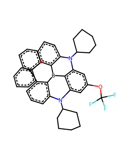 FC(F)(F)Oc1cc2c3c(c1)N(C1CCCCC1)c1cccc(-c4ccccc4)c1B3c1c(-c3ccccc3)cccc1N2C1CCCCC1